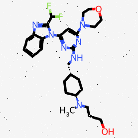 CN(CCCO)[C@H]1CC[C@H](CNc2nc(N3CCOCC3)cc(-n3c(C(F)F)nc4ccccc43)n2)CC1